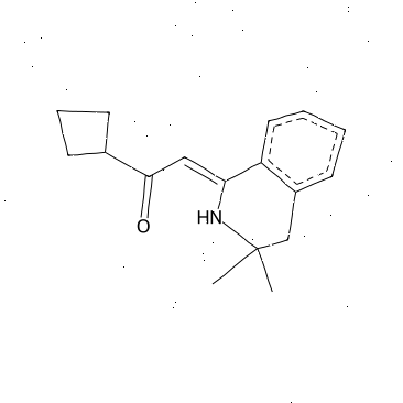 CC1(C)Cc2ccccc2/C(=C/C(=O)C2CCC2)N1